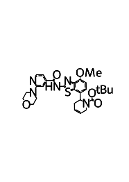 COc1ccc(C2CC=CCN2C(=O)OC(C)(C)C)c2sc(NC(=O)c3ccnc(N4CCOCC4)c3)nc12